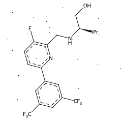 CC(C)[C@H](CO)NCc1nc(-c2cc(C(F)(F)F)cc(C(F)(F)F)c2)ccc1F